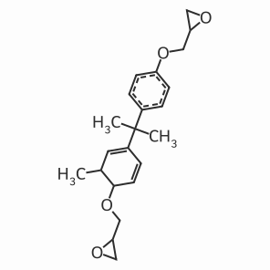 CC1C=C(C(C)(C)c2ccc(OCC3CO3)cc2)C=CC1OCC1CO1